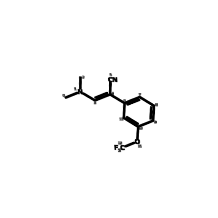 CN(C)C=C(C#N)c1cccc(OC(F)(F)F)c1